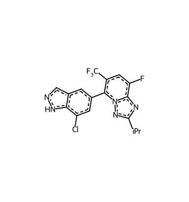 CC(C)c1nc2c(F)cc(C(F)(F)F)c(-c3cc(Cl)c4[nH]ncc4c3)n2n1